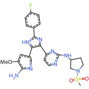 COc1cc(-c2[nH]c(-c3ccc(F)cc3)nc2-c2ccnc(NC3CCN(S(C)(=O)=O)C3)n2)cnc1N